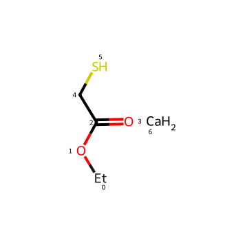 CCOC(=O)CS.[CaH2]